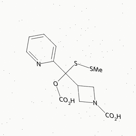 CSSC(OC(=O)O)(c1ccccn1)C1CN(C(=O)O)C1